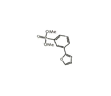 COP(=O)(OC)c1cccc(-c2ccco2)c1